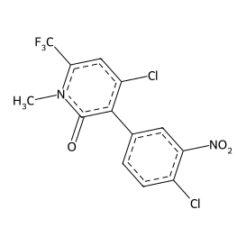 Cn1c(C(F)(F)F)cc(Cl)c(-c2ccc(Cl)c([N+](=O)[O-])c2)c1=O